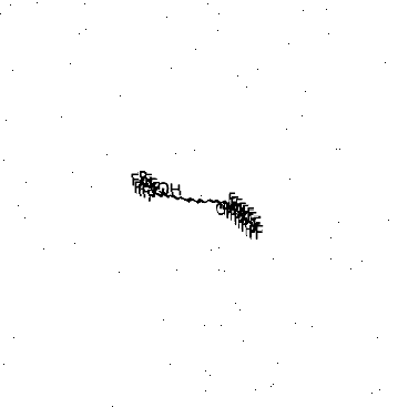 OC(CCCCC=CC=CCCCCC(O)CC(F)(F)C(F)(F)C(F)(F)C(F)(F)C(F)(F)C(F)(F)C(F)(F)C(F)(F)F)CC(F)(F)C(F)(F)C(F)(F)C(F)(F)F